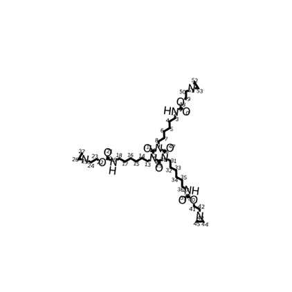 O=C(NCCCCCCn1c(=O)n(CCCCCCNC(=O)OCCN2CC2)c(=O)n(CCCCCCNC(=O)OCCN2CC2)c1=O)OCCN1CC1